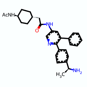 CC(=O)N[C@H]1CC[C@H](CC(=O)Nc2cnc(-c3ccc([C@H](C)N)cc3)c(-c3ccccc3)c2)CC1